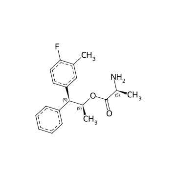 Cc1cc([C@H](c2ccccc2)[C@H](C)OC(=O)[C@H](C)N)ccc1F